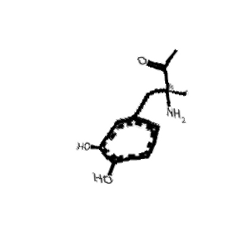 CC(=O)[C@](C)(N)Cc1ccc(O)c(O)c1